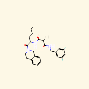 CCCCC(NC(=O)C(C)C(=O)NCc1cc(F)cc(F)c1)C(=O)N1CCc2ccccc2C1